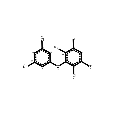 Cc1cc(Br)c(Cl)c(Oc2cc(Cl)cc(C#N)c2)c1F